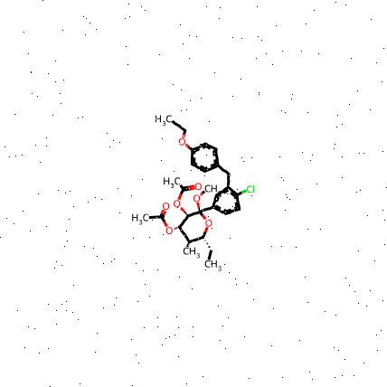 CCOc1ccc(Cc2cc([C@]3(OC)O[C@H](CC)[C@@H](C)[C@H](OC(C)=O)[C@H]3OC(C)=O)ccc2Cl)cc1